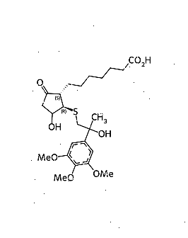 COc1cc(C(C)(O)CS[C@H]2C(O)CC(=O)[C@@H]2CCCCCCC(=O)O)cc(OC)c1OC